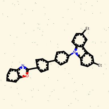 CCc1ccc2c(c1)c1cc(CC)ccc1n2-c1ccc(-c2ccc(-c3nc4ccccc4o3)cc2)cc1